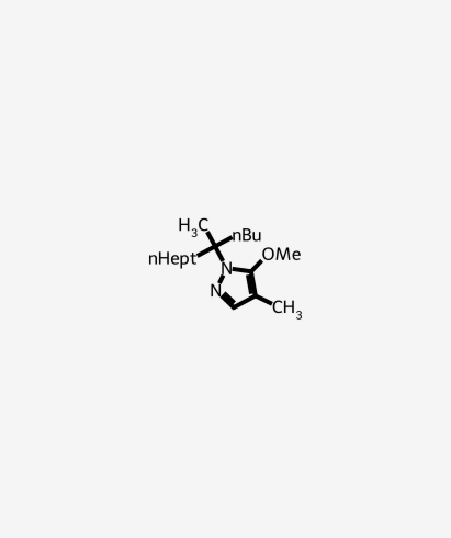 CCCCCCCC(C)(CCCC)n1ncc(C)c1OC